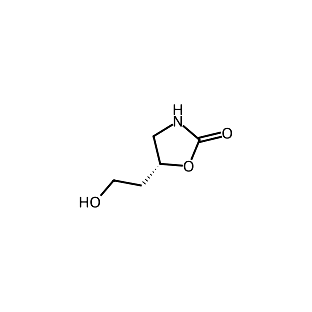 O=C1NC[C@@H](CCO)O1